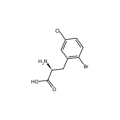 N[C@@H](Cc1cc(Cl)ccc1Br)C(=O)O